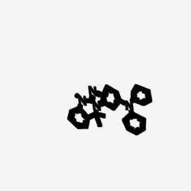 CN1c2ccccc2C(C)(C)n2c1nc1ccc(N(c3ccccc3)c3ccccc3)cc12